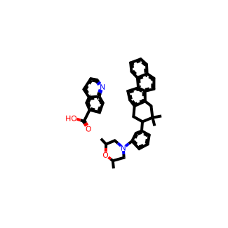 CC1CN(c2cccc(C3Cc4ccc5c(ccc6ccccc65)c4CC3(C)C)c2)CC(C)O1.O=C(O)c1ccc2ncccc2c1